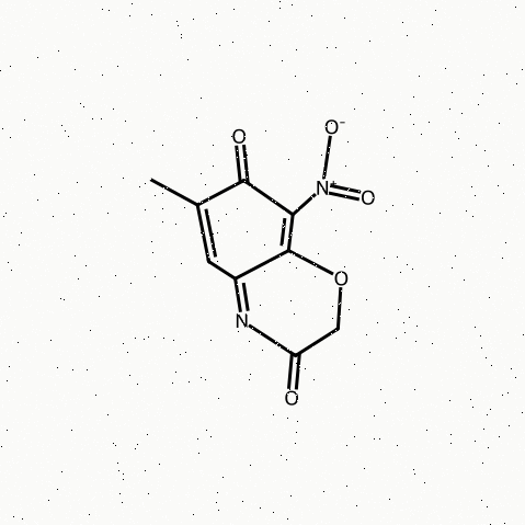 CC1=CC2=NC(=O)COC2=C([N+](=O)[O-])C1=O